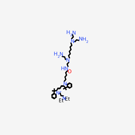 CCN(CC)CCC[N+]1=C(/C=C/C=C2/N(CCCCCC(=O)NCCCN(CCCN)CCCCCCCCN(CCCN)CCCN)c3ccccc3C2(C)C)C(C)(C)c2ccccc21